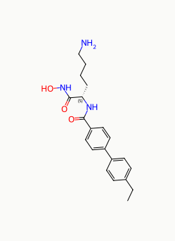 CCc1ccc(-c2ccc(C(=O)N[C@@H](CCCCN)C(=O)NO)cc2)cc1